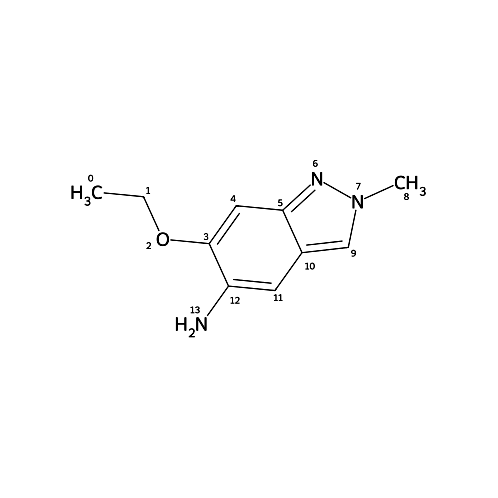 CCOc1cc2nn(C)cc2cc1N